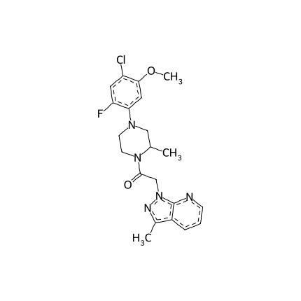 COc1cc(N2CCN(C(=O)Cn3nc(C)c4cccnc43)C(C)C2)c(F)cc1Cl